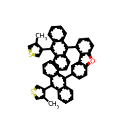 Cc1cscc1-c1c2ccccc2c(-c2ccc3oc4cccc(-c5c6ccccc6c(-c6cscc6C)c6ccccc56)c4c3c2)c2ccccc12